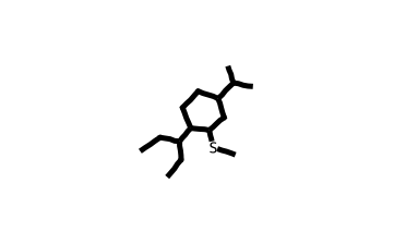 CCC(CC)C1CCC(C(C)C)CC1SC